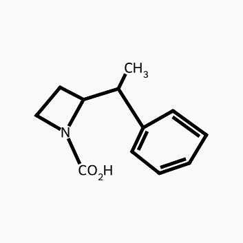 CC(c1ccccc1)C1CCN1C(=O)O